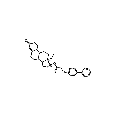 CC[C@]12CCC3C4CCC(=O)C=C4CCC3C1CC[C@@H]2OC(=O)COc1ccc(-c2ccccc2)cc1